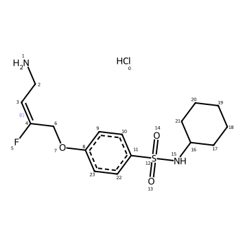 Cl.NC/C=C(/F)COc1ccc(S(=O)(=O)NC2CCCCC2)cc1